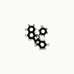 c1ccc(-n2c3c4ccccc4ccc3c3sc4ccccc4c32)cc1